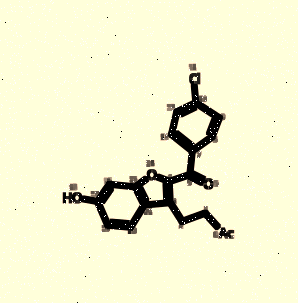 CC(=O)CCc1c(C(=O)c2ccc(Cl)cc2)oc2cc(O)ccc12